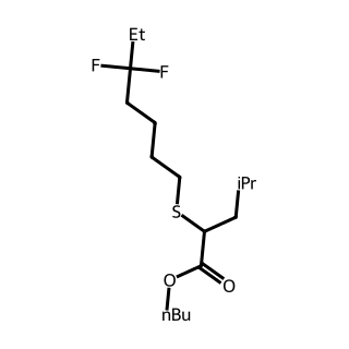 CCCCOC(=O)C(CC(C)C)SCCCCC(F)(F)CC